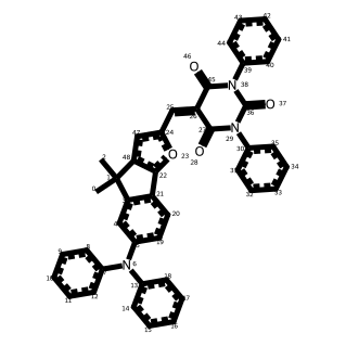 CC1(C)c2cc(N(c3ccccc3)c3ccccc3)ccc2-c2oc(C=C3C(=O)N(c4ccccc4)C(=O)N(c4ccccc4)C3=O)cc21